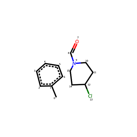 Cc1ccccc1.O=CN1CCC(Cl)CC1